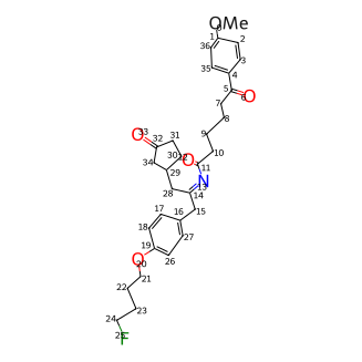 COc1ccc(C(=O)CCCCC(=O)/N=C(/Cc2ccc(OCCCCF)cc2)CC2CCC(=O)C2)cc1